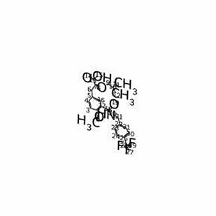 COc1ccc(CC(OCC(C)C)C(=O)O)cc1C(=O)NCc1ccc(C(F)(F)F)cc1